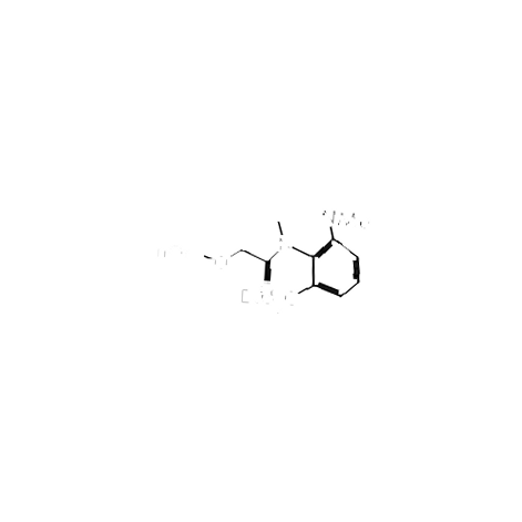 CCCCCCCCOCC(=O)N(C)c1c(NC)cccc1C(=O)OCC